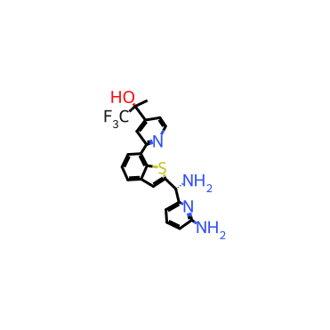 CC(O)(c1ccnc(-c2cccc3cc([C@H](N)c4cccc(N)n4)sc23)c1)C(F)(F)F